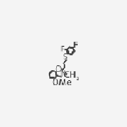 COc1ccccc1CN(C)C(=O)CCCSc1ccc(F)cc1F